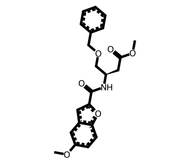 COC(=O)C[C@H](COCc1ccccc1)NC(=O)c1cc2cc(OC)ccc2o1